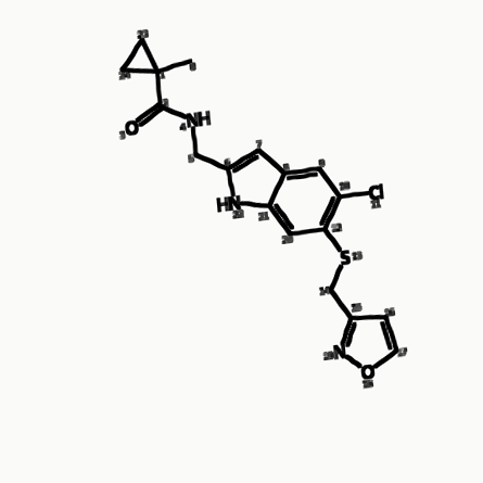 CC1(C(=O)NCc2cc3cc(Cl)c(SCc4ccon4)cc3[nH]2)CC1